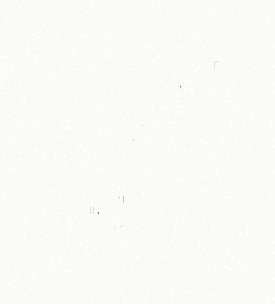 COc1cc(-c2ccc(F)cn2)cc(C)c1C1C(=O)CC2(CC1=O)CN(C(=O)NC(=O)C(C)(C)C)C2